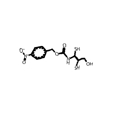 O=C(NC(S)C(S)CO)OCc1ccc([N+](=O)[O-])cc1